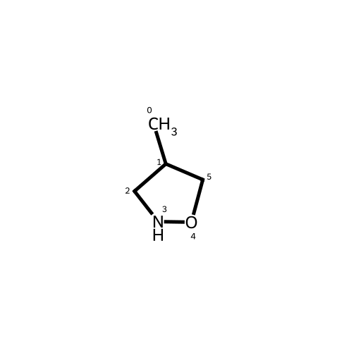 CC1CNOC1